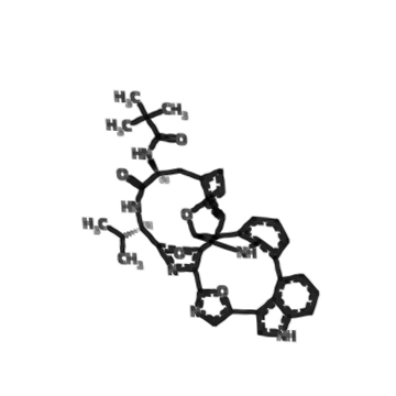 CC(C)[C@@H]1NC(=O)[C@@H](NC(=O)C(C)(C)C)Cc2ccc3c(c2)C24c5cccc(c5NC2O3)-c2cccc3[nH]cc(c23)-c2cnc(o2)-c2nc1oc24